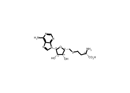 Nc1ncnc2c1ncn2[C@@H]1O[C@H](CSCC[C@H](N)C(=O)O)[C@H](O)[C@@H]1O